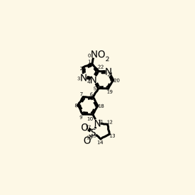 O=[N+]([O-])c1cnn2c(-c3cccc(N4CCCS4(=O)=O)c3)ccnc12